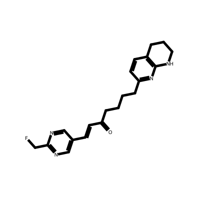 O=C(/C=C/c1cnc(CF)nc1)CCCCc1ccc2c(n1)NCCC2